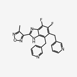 Cc1nonc1-c1nc2c(F)c(F)c(Cc3cccnc3)c(Cc3cccnc3)c2[nH]1